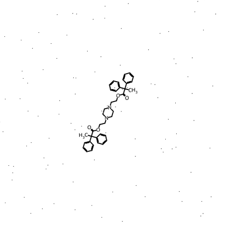 CC(C(=O)OCCN1CCN(CCOC(=O)C(C)(c2ccccc2)c2ccccc2)CC1)(c1ccccc1)c1ccccc1